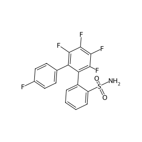 NS(=O)(=O)c1ccccc1-c1c(F)c(F)c(F)c(F)c1-c1ccc(F)cc1